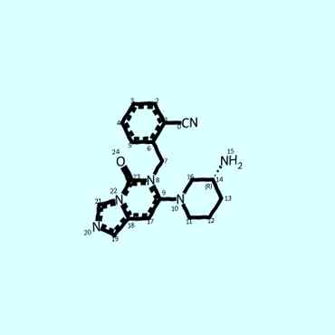 N#Cc1ccccc1Cn1c(N2CCC[C@@H](N)C2)cc2cncn2c1=O